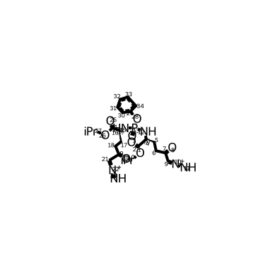 CC(C)OC(=O)[C@H](CCC(=O)C=[N+]=N)NP(=O)(N[C@@H](CCC(=O)C=[N+]=N)C(=O)OC(C)C)Oc1ccccc1